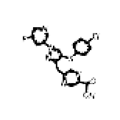 O=C(O)c1cnc(Cc2nn(-c3cncc(F)c3)cc2Sc2ccc(Cl)cc2)cn1